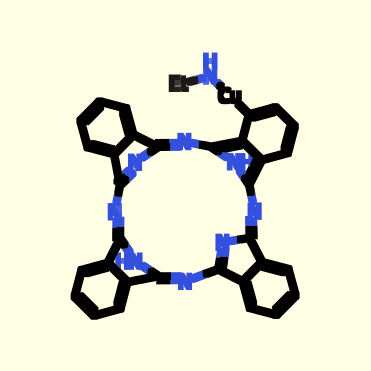 CC[NH][Cu][c]1cccc2c3nc4nc(nc5[nH]c(nc6nc(nc([nH]3)c12)-c1ccccc1-6)c1ccccc51)-c1ccccc1-4